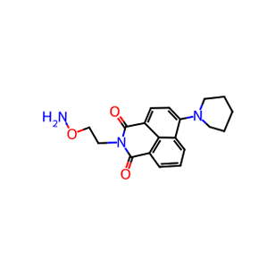 NOCCN1C(=O)c2cccc3c(N4CCCCC4)ccc(c23)C1=O